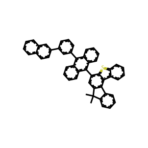 CC1(C)c2ccccc2-c2c1cc(-c1c3ccccc3c(-c3cccc(-c4ccc5ccccc5c4)c3)c3ccccc13)c1sc3ccccc3c21